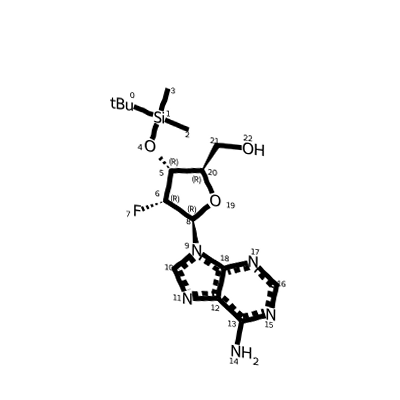 CC(C)(C)[Si](C)(C)O[C@H]1[C@@H](F)[C@H](n2cnc3c(N)ncnc32)O[C@@H]1CO